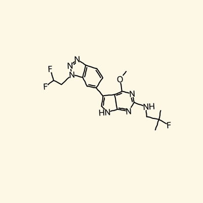 COc1nc(NCC(C)(C)F)nc2[nH]cc(-c3ccc4nnn(CC(F)F)c4c3)c12